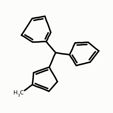 CC1=CCC(C(c2ccccc2)c2ccccc2)=C1